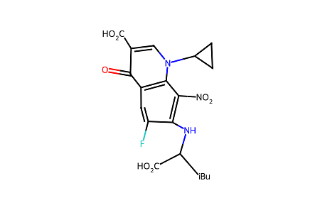 CCC(C)C(Nc1c(F)cc2c(=O)c(C(=O)O)cn(C3CC3)c2c1[N+](=O)[O-])C(=O)O